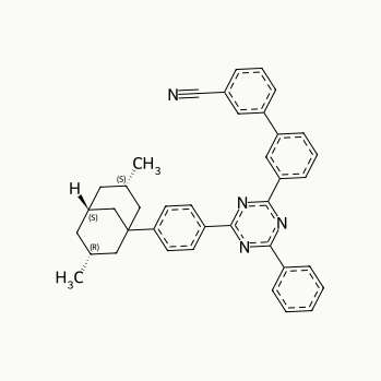 C[C@@H]1C[C@@H]2C[C@H](C)CC(c3ccc(-c4nc(-c5ccccc5)nc(-c5cccc(-c6cccc(C#N)c6)c5)n4)cc3)(C1)C2